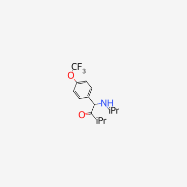 CC(C)NC(C(=O)C(C)C)c1ccc(OC(F)(F)F)cc1